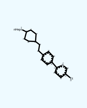 CCCCCCCC1CCC(CCc2ccc(-c3ccc(CC)cn3)cc2)CC1